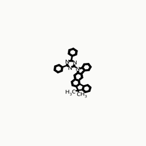 CC1(C)c2ccccc2-c2c1ccc1cc3c(cc21)c1ccccc1n3-c1nc(-c2ccccc2)nc(-c2ccccc2)n1